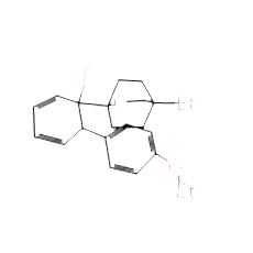 CCOc1ccc(C2C=CC=CC2(F)C23CCC(CC)(CC2)CC3)cc1